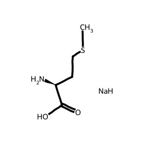 CSCC[C@H](N)C(=O)O.[NaH]